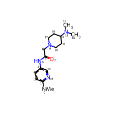 CNc1ccc(NC(=O)CN2CCC(N(C)C)CC2)cn1